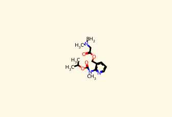 BN(C)CC(=O)OCc1cccnc1N(C)C(=O)OC(C)C